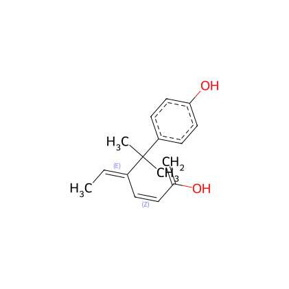 C=C(O)/C=C\C(=C/C)C(C)(C)c1ccc(O)cc1